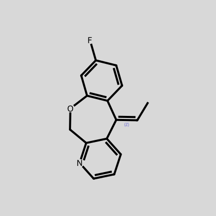 C/C=C1\c2ccc(F)cc2OCc2ncccc21